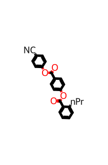 CCCc1ccccc1C(=O)Oc1ccc(C(=O)Oc2ccc(C#N)cc2)cc1